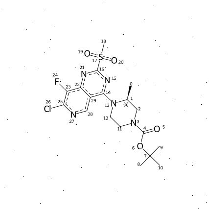 C[C@H]1CN(C(=O)OC(C)(C)C)CCN1c1nc(S(C)(=O)=O)nc2c(F)c(Cl)ncc12